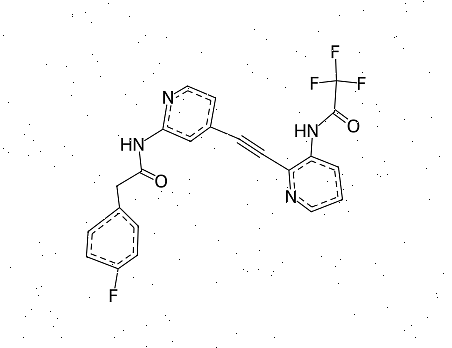 O=C(Cc1ccc(F)cc1)Nc1cc(C#Cc2ncccc2NC(=O)C(F)(F)F)ccn1